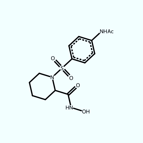 CC(=O)Nc1ccc(S(=O)(=O)N2CCCCC2C(=O)NO)cc1